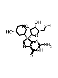 Nc1nc2c(c(=O)[nH]1)N=C[N+]2([C@@H]1CCC[C@@H](O)C1)[C@@H]1O[C@H](CO)[C@@H](O)[C@H]1O